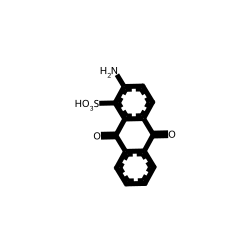 Nc1ccc2c(c1S(=O)(=O)O)C(=O)c1ccccc1C2=O